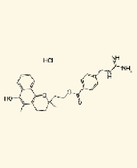 Cc1c2c(c3ccccc3c1O)OC(C)(CCOC(=O)c1ccc(CNC(=N)N)cc1)CC2.Cl